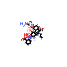 C=CCN1CC[C@]23c4c5ccc(O)c4O[C@H]2C(=O)CC[C@@]3(O)[C@H]1C5.NC(=O)O.Nc1ccccc1C(=O)O